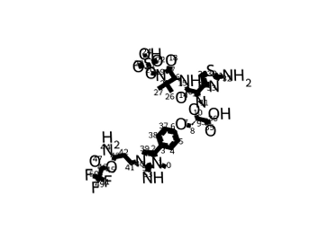 Cn1c(-c2ccc(OC[C@H](O/N=C(\C(=O)N[C@@H]3C(=O)N(OS(=O)(=O)O)C3(C)C)c3csc(N)n3)C(=O)O)cc2)cn(CC[C@@H](N)OC(=O)C(F)(F)F)c1=N